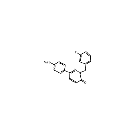 CSc1ccc(-c2ccc(=O)n(Cc3cccc(F)c3)n2)cc1